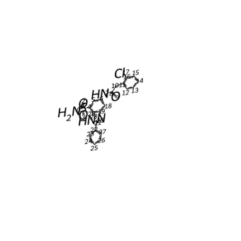 NS(=O)(=O)c1cc(NC(=O)Cc2ccccc2Cl)cc2nc(-c3ccccc3)[nH]c12